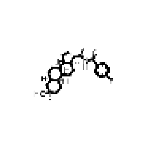 C[C@@H](NC(=O)c1ccc(F)cc1)[C@H]1CC[C@H]2[C@@H]3CC[C@@H]4C[C@](C)(O)CC[C@@H]4[C@H]3CC[C@]12C